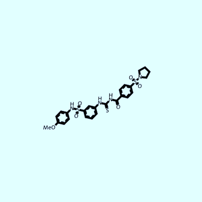 COc1ccc(NS(=O)(=O)c2cccc(NC(=S)NC(=O)c3ccc(S(=O)(=O)N4CCCC4)cc3)c2)cc1